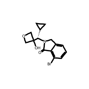 O=C1c2c(Br)cccc2CN1[C@@H](C1CC1)C1(O)COC1